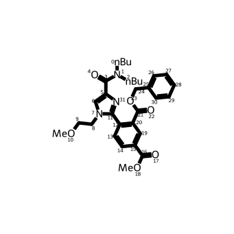 CCCCN(CCCC)C(=O)c1cn(CCOC)c(-c2ccc(C(=O)OC)cc2C(=O)OCc2ccccc2)n1